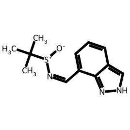 CC(C)(C)[S+]([O-])/N=C\c1cccc2c[nH]nc12